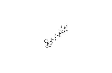 CC(C)(C)OOCCCCOC(=O)O